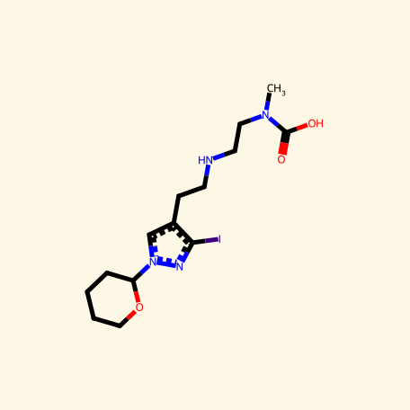 CN(CCNCCc1cn(C2CCCCO2)nc1I)C(=O)O